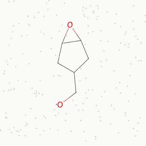 [O]CC1CC2OC2C1